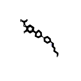 FCCC/C=C/[C@H]1CC[C@H](C2CCC(c3ccc(OC(F)F)c(F)c3)CC2)CC1